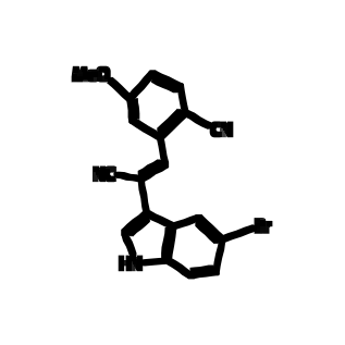 COc1ccc(C#N)c(C=C(C#N)c2c[nH]c3ccc(Br)cc23)c1